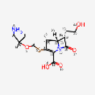 C[C@H]1C(SCOC(C)(C)CN)=C(C(=O)O)N2C(=O)[C@@H](CCO)[C@@H]12